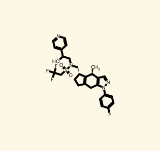 C[C@@H]1C2=C(CC[C@@H]2CN(CC(O)c2ccncc2)S(=O)(=O)CC(F)(F)F)Cc2c1cnn2-c1ccc(F)cc1